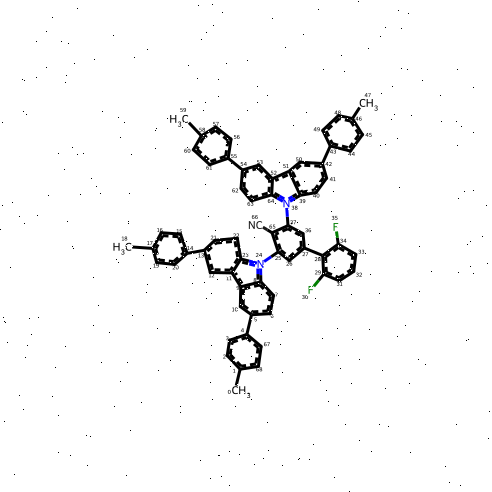 Cc1ccc(-c2ccc3c(c2)c2cc(-c4ccc(C)cc4)ccc2n3-c2cc(-c3c(F)cccc3F)cc(-n3c4ccc(-c5ccc(C)cc5)cc4c4cc(-c5ccc(C)cc5)ccc43)c2C#N)cc1